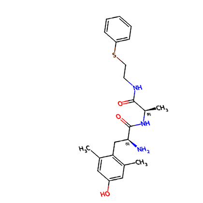 Cc1cc(O)cc(C)c1C[C@H](N)C(=O)N[C@H](C)C(=O)NCCSc1ccccc1